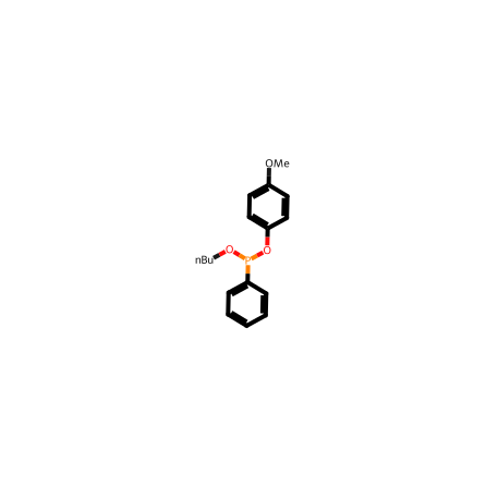 CCCCOP(Oc1ccc(OC)cc1)c1ccccc1